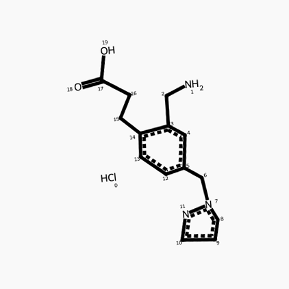 Cl.NCc1cc(Cn2cccn2)ccc1CCC(=O)O